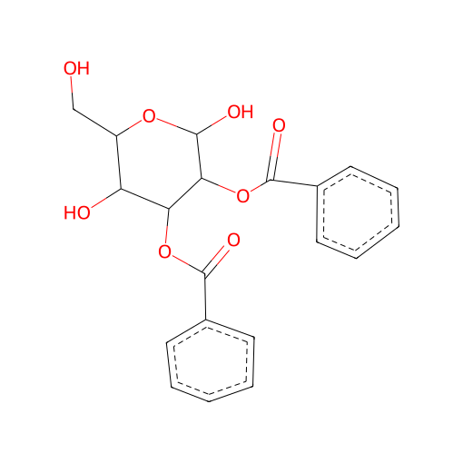 O=C(OC1C(O)OC(CO)C(O)C1OC(=O)c1ccccc1)c1ccccc1